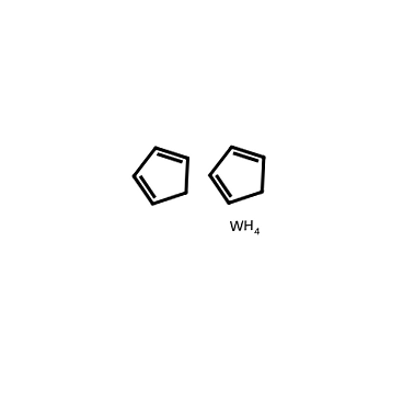 C1=CCC=C1.C1=CCC=C1.[WH4]